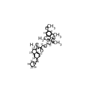 COc1cc(C)c(S(=O)(=O)N(C)CCOCC(=O)N(C)C2CCC3=CC(CN4CCCC4)CC=C32)c(C)c1